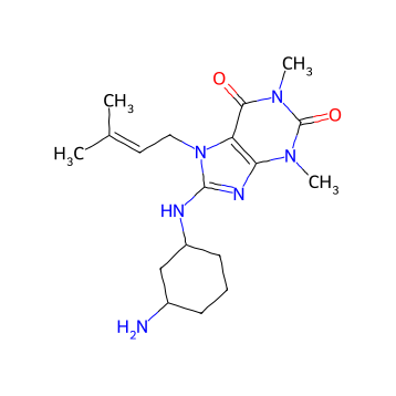 CC(C)=CCn1c(NC2CCCC(N)C2)nc2c1c(=O)n(C)c(=O)n2C